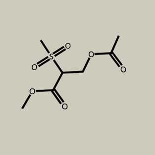 COC(=O)C(COC(C)=O)S(C)(=O)=O